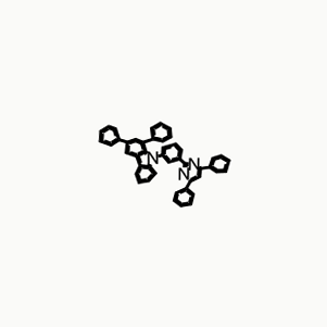 c1ccc(-c2cc(-c3ccccc3)c3c(c2)c2ccccc2n3-c2cccc(-c3nc(-c4ccccc4)cc(-c4ccccc4)n3)c2)cc1